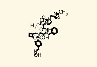 Cc1nc(CN2CCN([C@H](C(=O)N[C@@H](Cc3ccccc3)[C@H](O)CN(CC3CCC3)S(=O)(=O)c3ccc(C=NO)cc3)C(C)C)C2=O)cs1